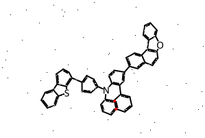 c1ccc(-c2cc(-c3ccc4c(ccc5oc6ccccc6c54)c3)ccc2N(c2ccccc2)c2ccc(-c3cccc4c3sc3ccccc34)cc2)cc1